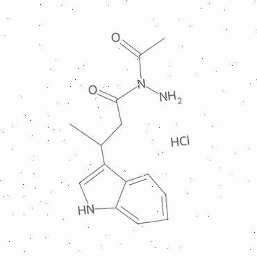 CC(=O)N(N)C(=O)CC(C)c1c[nH]c2ccccc12.Cl